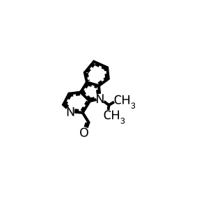 CC(C)n1c2ccccc2c2ccnc(C=O)c21